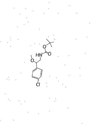 COC(CNC(=O)OC(C)(C)C)c1ccc(Cl)cc1